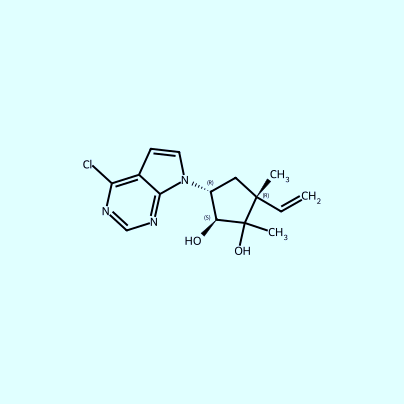 C=C[C@@]1(C)C[C@@H](n2ccc3c(Cl)ncnc32)[C@H](O)C1(C)O